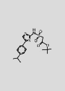 CC(C)c1ccc(-c2csc(NS(=O)(=O)CC(=O)OC(C)(C)C)n2)cc1